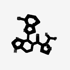 O=C(c1ccnn1C(F)F)N1CCc2[nH]cnc2C1c1cc2cccc(Cl)n2n1